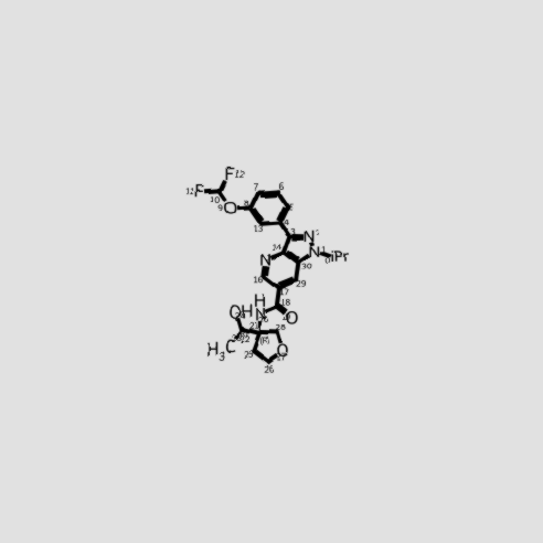 CC(C)n1nc(-c2cccc(OC(F)F)c2)c2ncc(C(=O)N[C@]3([C@@H](C)O)CCOC3)cc21